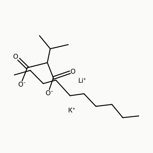 CC(C)C(C(=O)[O-])C(=O)[O-].CCCCCCCCCC.[K+].[Li+]